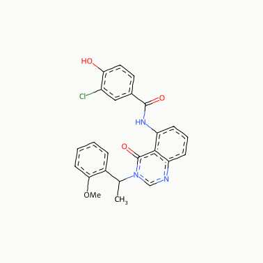 COc1ccccc1C(C)n1cnc2cccc(NC(=O)c3ccc(O)c(Cl)c3)c2c1=O